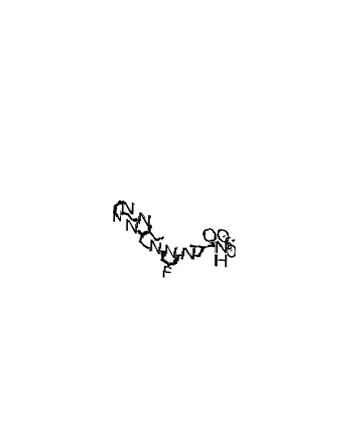 CC1c2cnc(-c3ncccn3)nc2CCN1c1cc(F)cc(N2CC(C(=O)NS(C)(=O)=O)C2)n1